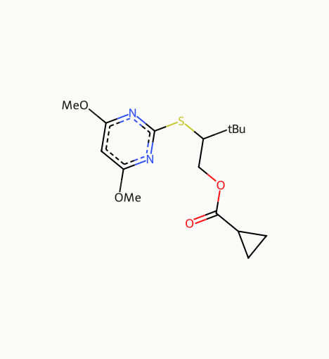 COc1cc(OC)nc(SC(COC(=O)C2CC2)C(C)(C)C)n1